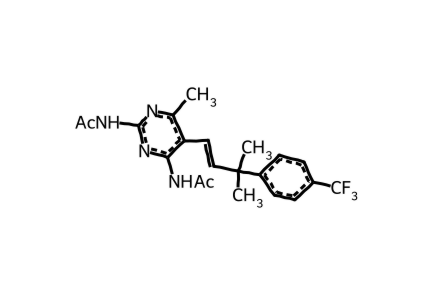 CC(=O)Nc1nc(C)c(C=CC(C)(C)c2ccc(C(F)(F)F)cc2)c(NC(C)=O)n1